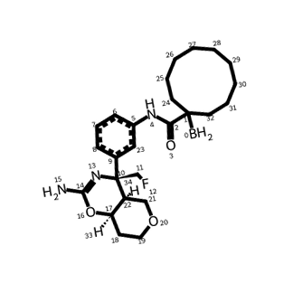 BC1(C(=O)Nc2cccc([C@@]3(CF)N=C(N)O[C@@H]4CCOC[C@@H]43)c2)CCCCCCCCC1